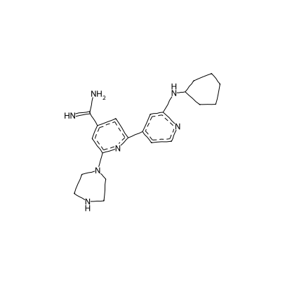 N=C(N)c1cc(-c2ccnc(NC3CCCCC3)c2)nc(N2CCNCC2)c1